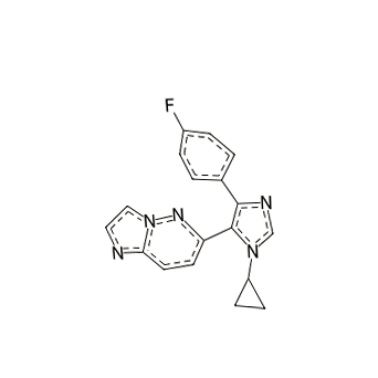 Fc1ccc(-c2ncn(C3CC3)c2-c2ccc3nccn3n2)cc1